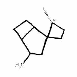 CC1CC2(CC[C@H]2I)C2CCC12